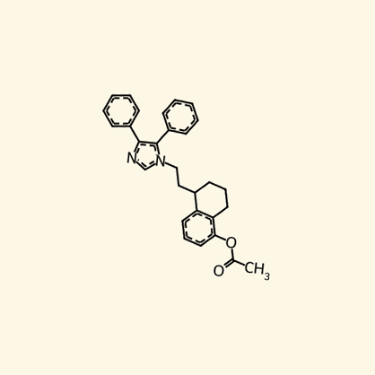 CC(=O)Oc1cccc2c1CCCC2CCn1cnc(-c2ccccc2)c1-c1ccccc1